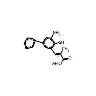 COC(=O)/C(C)=C/c1cc(-c2ccccc2)cc(N)c1S